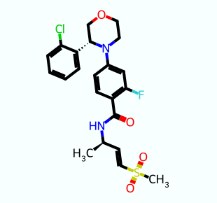 C[C@H](/C=C/S(C)(=O)=O)NC(=O)c1ccc(N2CCOC[C@H]2c2ccccc2Cl)cc1F